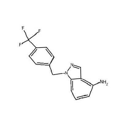 Nc1cccc2c1cnn2Cc1ccc(C(F)(F)F)cc1